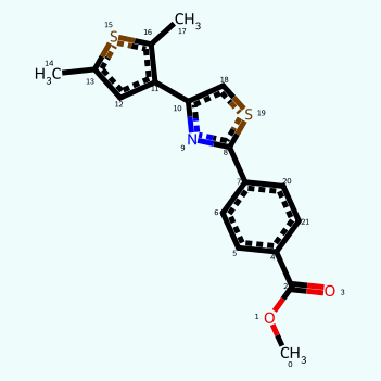 COC(=O)c1ccc(-c2nc(-c3cc(C)sc3C)cs2)cc1